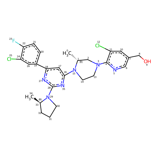 C[C@@H]1CN(c2ncc(CO)cc2Cl)CCN1c1cc(-c2ccc(F)c(Cl)c2)nc(N2CCC[C@H]2C)n1